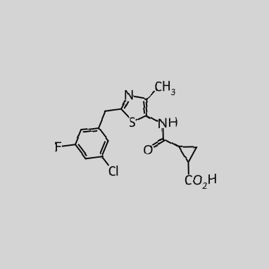 Cc1nc(Cc2cc(F)cc(Cl)c2)sc1NC(=O)C1CC1C(=O)O